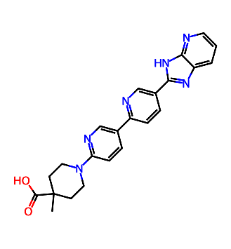 CC1(C(=O)O)CCN(c2ccc(-c3ccc(-c4nc5cccnc5[nH]4)cn3)cn2)CC1